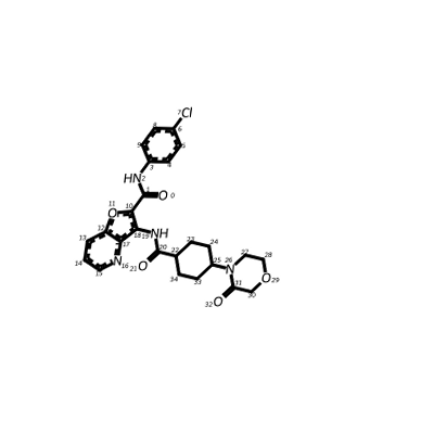 O=C(Nc1ccc(Cl)cc1)c1oc2cccnc2c1NC(=O)C1CCC(N2CCOCC2=O)CC1